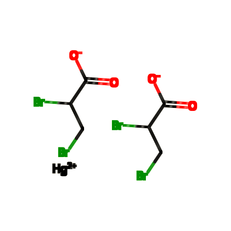 O=C([O-])C(Br)CBr.O=C([O-])C(Br)CBr.[Hg+2]